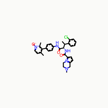 Cc1cc[n+]([O-])c(C)c1-c1ccc(NC(=O)[C@@H](NC(=O)c2ccc3n2CCN(C)C3)C(C)c2ccccc2Cl)cc1